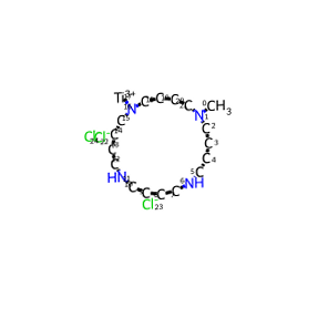 CN1CCCCNCCCCNCCCC[N]([Ti+3])CCCC1.[Cl-].[Cl-].[Cl-]